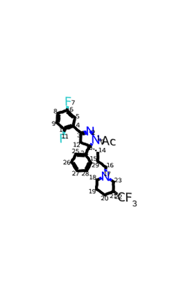 CC(=O)N1N=C(c2cc(F)ccc2F)C[C@]1(CCCN1CCCC(C(F)(F)F)C1)c1ccccc1